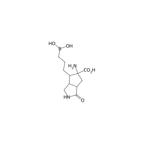 NC1(C(=O)O)CC2C(=O)NCC2C1CCCB(O)O